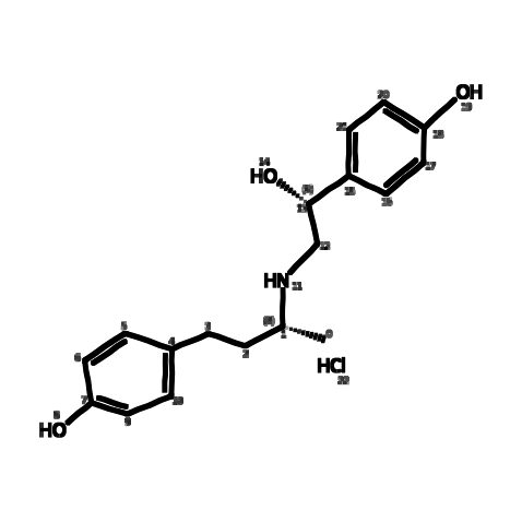 C[C@H](CCc1ccc(O)cc1)NC[C@H](O)c1ccc(O)cc1.Cl